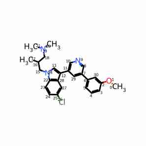 COc1cccc(-c2cncc(-c3cn(CC(C)CN(C)C)c4ccc(Cl)cc34)c2)c1